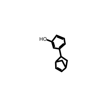 Oc1cccc(C2CC3C=CC2C3)c1